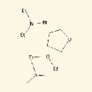 C1CCOC1.CCN(CC)CC.CCOCC.CN(C)C